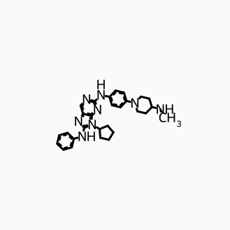 CNC1CCN(c2ccc(Nc3ncc4nc(Nc5ccccc5)n(C5CCCC5)c4n3)cc2)CC1